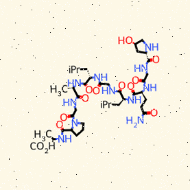 CC(C)C[C@H](NC(=O)CNC(=O)[C@H](CC(C)C)NC(=O)[C@H](CCC(N)=O)NC(=O)CNC(=O)[C@@H]1C[C@@H](O)CN1)C(=O)N[C@@H](C)C(=O)NCC(=O)N1CCCC1C(=O)N[C@@H](C)C(=O)O